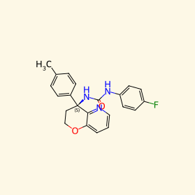 Cc1ccc([C@@]2(NC(=O)Nc3ccc(F)cc3)CCOc3cccnc32)cc1